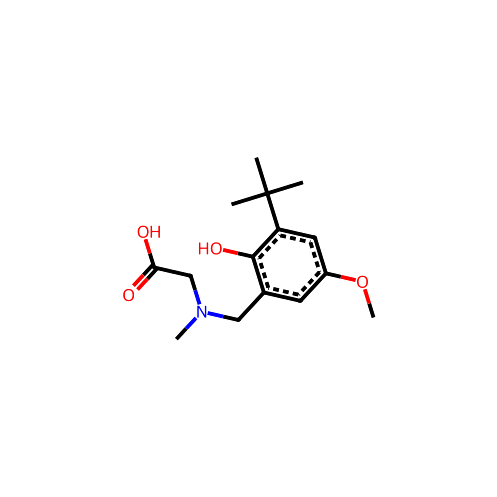 COc1cc(CN(C)CC(=O)O)c(O)c(C(C)(C)C)c1